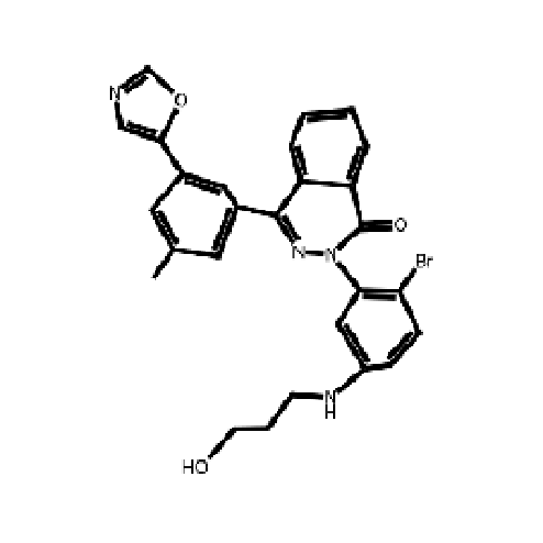 Cc1cc(-c2cnco2)cc(-c2nn(-c3cc(NCCCO)ccc3Br)c(=O)c3ccccc23)c1